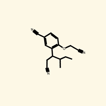 CCC(C)C(CC#N)c1cc(C#N)ccc1OCC#N